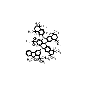 CC(C)(C)c1cc2c3c(c1)N(c1cc4c(c(C(C)(C)C)c1)C(C)(C)c1ccccc1-4)c1cc4c(cc1B3c1cc3c(cc1N2c1ccc2c(c1)C(C)(C)CCC2(C)C)C(C)(C)CCC3(C)C)C(C)(C)CC4(C)C